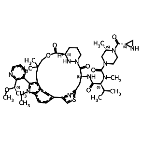 CCn1c(-c2cccnc2[C@H](C)OC)c2c3cc(ccc31)-c1csc(n1)C[C@H](NC(=O)[C@H](C(C)C)N(C)C(=O)N1CCN(C(=O)[C@@H]3CN3)[C@@H](C)C1)C(=O)N1CCC[C@H](N1)C(=O)OCC(C)(C)C2